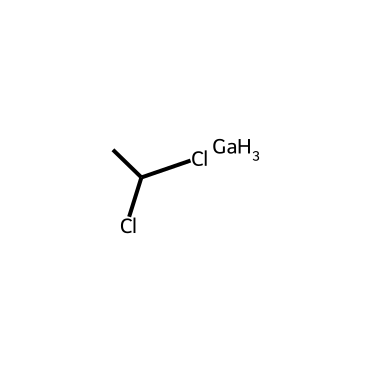 CC(Cl)Cl.[GaH3]